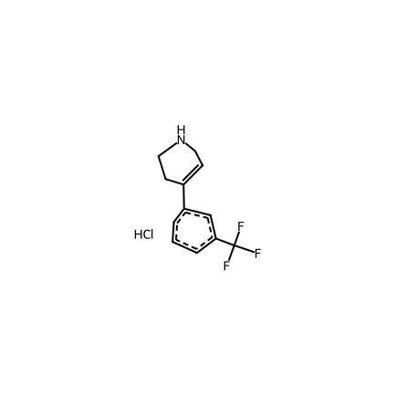 Cl.FC(F)(F)c1cccc(C2=CCNCC2)c1